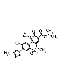 CC(C)OC(=O)c1cc2c(n(C3CC3)c1=O)-c1cc(Cl)c(-c3cnn(C)c3)cc1S(=O)(=O)C2C